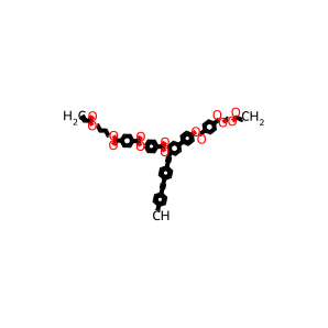 C#Cc1ccc(C#Cc2ccc(C#CC3(OC(=O)c4ccc(OC(=O)C5CCC(C(=O)OCCCCOC(=O)C=C)CC5)cc4)CCC(c4ccc(OC(=O)C5CCC(C(=O)OCOC(=O)C=C)CC5)cc4)CC3)cc2)cc1